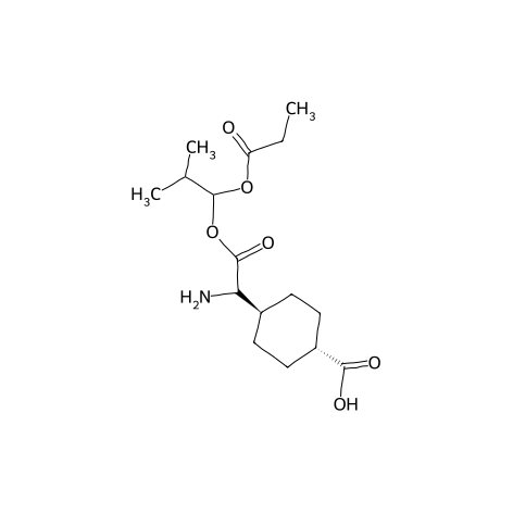 CCC(=O)OC(OC(=O)C(N)[C@H]1CC[C@H](C(=O)O)CC1)C(C)C